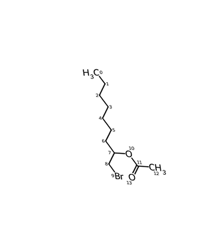 CCCCCCCC(CBr)OC(C)=O